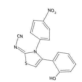 N#C/N=c1/scc(-c2ccccc2O)n1-c1ccc([N+](=O)[O-])cc1